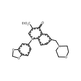 CCOC(=O)c1cn(-c2ccc3c(c2)OCO3)c2ccc(CN3CCOCC3)cc2c1=O